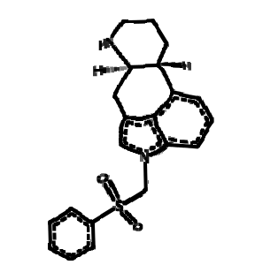 O=S(=O)(Cn1cc2c3c(cccc31)[C@H]1CCCN[C@@H]1C2)c1ccccc1